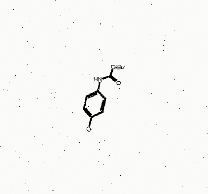 CC(C)COC(=O)Nc1ccc([O])cc1